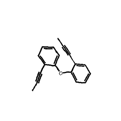 CC#Cc1ccccc1Oc1ccccc1C#CC